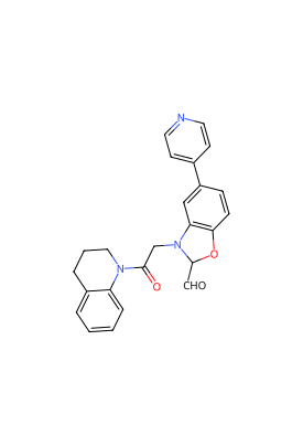 O=CC1Oc2ccc(-c3ccncc3)cc2N1CC(=O)N1CCCc2ccccc21